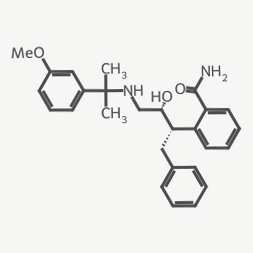 COc1cccc(C(C)(C)NC[C@H](O)[C@@H](Cc2ccccc2)c2ccccc2C(N)=O)c1